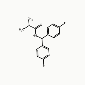 CC(C)C(=O)NC(c1ccc(F)cc1)c1ccc(F)cc1